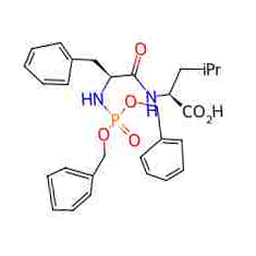 CC(C)C[C@H](NC(=O)[C@H](Cc1ccccc1)NP(=O)(OCc1ccccc1)OCc1ccccc1)C(=O)O